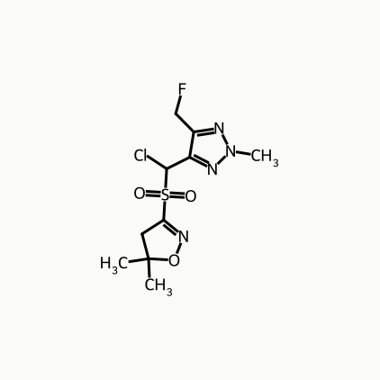 Cn1nc(CF)c(C(Cl)S(=O)(=O)C2=NOC(C)(C)C2)n1